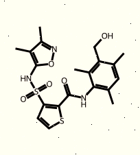 Cc1cc(C)c(NC(=O)c2sccc2S(=O)(=O)Nc2onc(C)c2C)c(C)c1CO